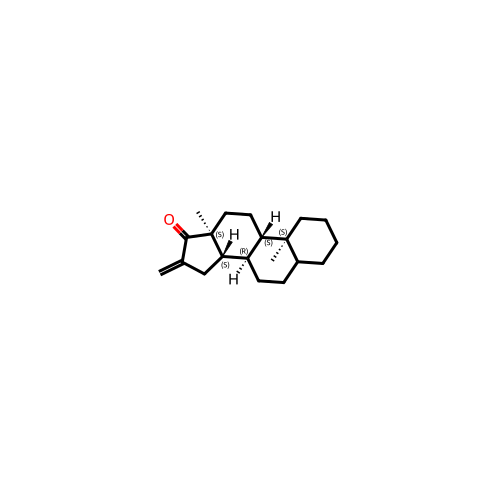 C=C1C[C@H]2[C@@H]3CCC4CCCC[C@]4(C)[C@H]3CC[C@]2(C)C1=O